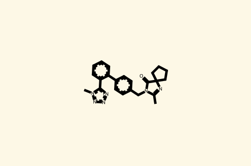 CC1=NC2(CCCC2)C(=O)N1Cc1ccc(-c2ccccc2-c2nnnn2C)cc1